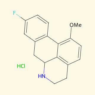 COc1ccc2c3c1-c1ccc(F)cc1CC3NCC2.Cl